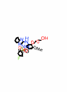 COc1cc(Nc2nc3ccccc3nc2NS(=O)(=O)c2ccc(F)cc2)c(OCCOCCO)c(OC)c1